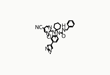 Cn1cc(-c2ccc(N(C(=O)NCc3ccccc3)C3(NC4N=CC(C#N)=CN4Cl)CCCCC3)cc2)cn1